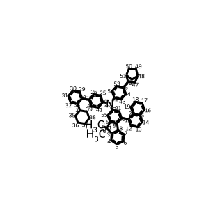 CC1(C)c2ccccc2-c2c(-c3cccc4ccccc34)cc(N(c3ccc(-c4ccccc4C4CCCCC4)cc3)c3ccc(C4CC5CCC4C5)cc3)cc21